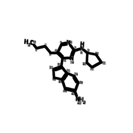 CCCCc1cnc(NC2CCCC2)nc1C1=CCc2cc(N)ccc21